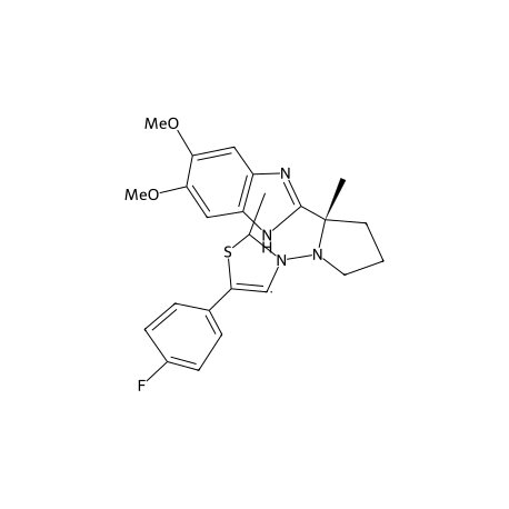 COc1cc2nc([C@]3(C)CCCN3N3[C]=C(c4ccc(F)cc4)SC3C)[nH]c2cc1OC